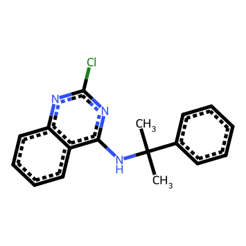 CC(C)(Nc1nc(Cl)nc2ccccc12)c1ccccc1